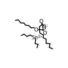 CCCCCCCCOC(CCCCCCCC)(CC(=O)[O-])C(=O)[O-].CCC[CH2][Sn+2][CH2]CCC